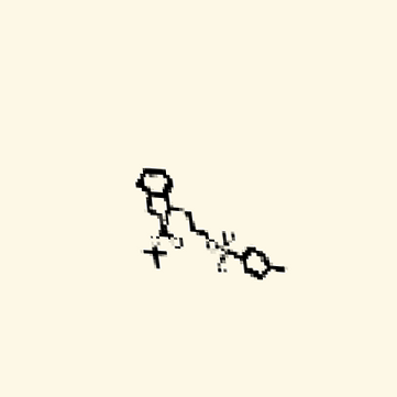 Cc1ccc(S(=O)(=O)OCCC[C@@H]2c3ccccc3CN2C(=O)OC(C)(C)C)cc1